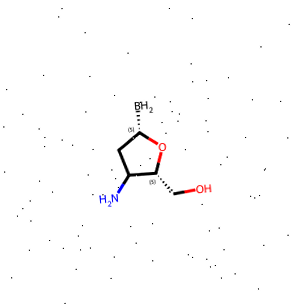 B[C@H]1CC(N)[C@@H](CO)O1